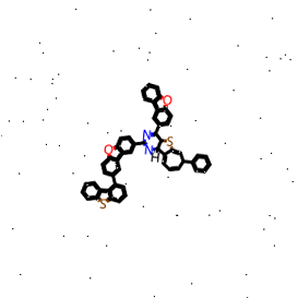 C1=CC(c2ccccc2)C=C2SC3C(c4ccc5oc6ccccc6c5c4)=NC(c4ccc5oc6ccc(-c7cccc8sc9ccccc9c78)cc6c5c4)=N[C@H]3C2=C1